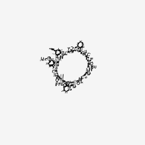 C#Cc1cccc(C[C@@H]2NC(=O)CN(C)C(=O)[C@H](CC3CCCCC3)N(C)C(=O)CN(C)C(=O)CN(C)C(=O)[C@H]([C@@H](C)CC)NC(=O)[C@H](C)CN(C)C(=O)C[C@@H](C(=O)N3CCCCC3)N(C)C(=O)[C@H](CC(C)C)NC(=O)C(C)(C)N(C)C(=O)[C@H](Cc3ccc(OC)cc3)NC2=O)c1